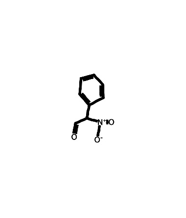 O=CC(c1ccccc1)[N+](=O)[O-]